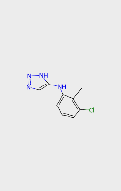 Cc1c(Cl)cccc1Nc1cnn[nH]1